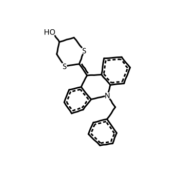 OC1CSC(=C2c3ccccc3N(Cc3ccccc3)c3ccccc32)SC1